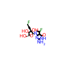 Nc1nc2c(c(F)cn2[C@@H]2O[C@H](CO)C(O)[C@]2(O)C#CCF)c(=O)[nH]1